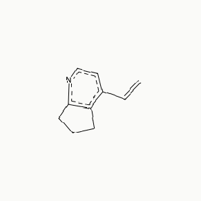 C=Cc1ccnc2c1CCC2